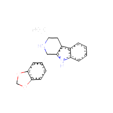 O=C(O)[C@@H]1Cc2c([nH]c3ccccc23)[C@H](c2ccc3c(c2)OCO3)N1